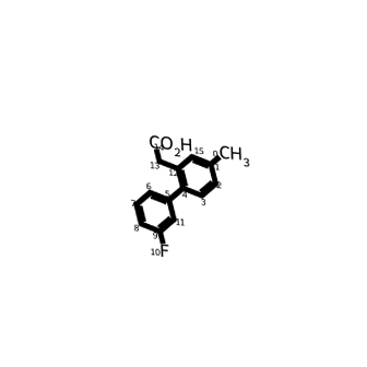 Cc1ccc(-c2cccc(F)c2)c(CC(=O)O)c1